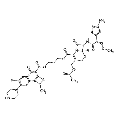 CO/N=C(\C(=O)NC1C(=O)N2C(C(=O)OCCCOC(=O)c3c4n(c5cc(N6CCNCC6)c(F)cc5c3=O)C(C)S4)=C(COC(C)=O)CS[C@H]12)c1csc(N)n1